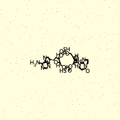 Nc1ncnn2c([C@H]3C[C@@H]4O[P@@](=O)(S)OC[C@H]5O[C@@H](n6ccc(=O)n7ccnc67)[C@H](O[P@](=O)(S)OC[C@H]4O3)[C@@H]5O)cnc12